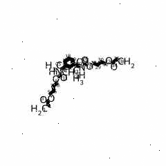 C=CC(=O)OCCCCOC(=O)NC(C)(C)c1cccc(C(C)(C)NC(=O)OCCCCOC(=O)C=C)c1